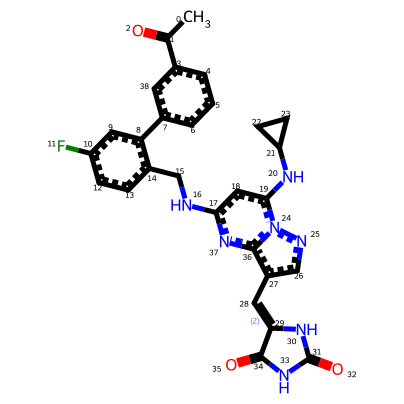 CC(=O)c1cccc(-c2cc(F)ccc2CNc2cc(NC3CC3)n3ncc(/C=C4\NC(=O)NC4=O)c3n2)c1